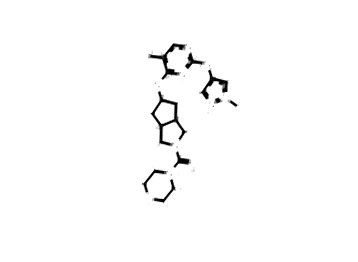 Cn1cc(Nc2ncc(Cl)c(NC3CC4CN(C(=O)N5CCOCC5)CC4C3)n2)cn1